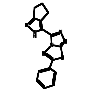 c1ccc(-c2nn3c(-c4[nH]nc5c4CCC5)nnc3s2)cc1